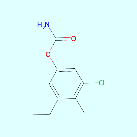 CCc1cc(OC(N)=O)cc(Cl)c1C